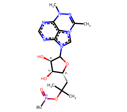 CCC(C)[PH](=O)OC(C)(C)C[C@H]1OC(n2c[n+]3c4c(ncnc42)N(C)N=C3C)[C@H](O)[C@@H]1O